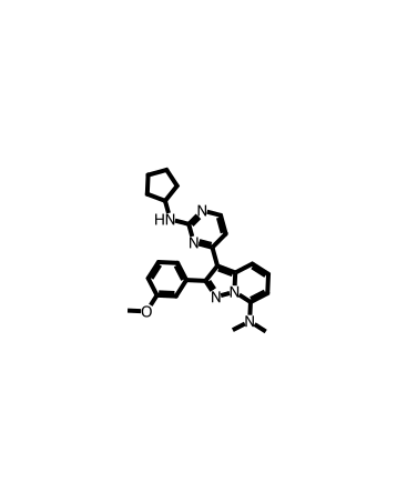 COc1cccc(-c2nn3c(N(C)C)cccc3c2-c2ccnc(NC3CCCC3)n2)c1